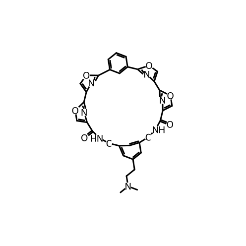 CN(C)CCc1cc2cc(c1)CNC(=O)c1coc(n1)-c1coc(n1)-c1cccc(c1)-c1nc(co1)-c1nc(co1)C(=O)NC2